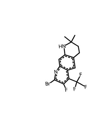 CC1(C)CCc2cc3c(C(F)(F)F)c(F)c(Br)nc3cc2N1